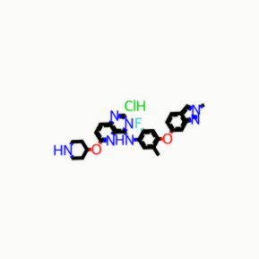 Cc1cc(Nc2ncnc3ccc(OC4CCNCC4)nc23)c(F)cc1Oc1ccc2cn(C)nc2c1.Cl